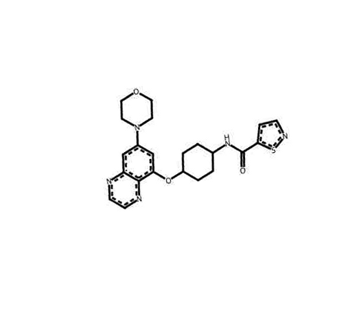 O=C(NC1CCC(Oc2cc(N3CCOCC3)cc3nccnc23)CC1)c1ccns1